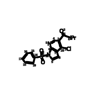 CC(C)C(=O)c1cnc2c(ccn2S(=O)(=O)c2ccccc2)c1Cl